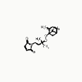 CC1CCC2CC1(OOC(C)(C)CCN1C(=O)C=CC1=O)C2(C)C